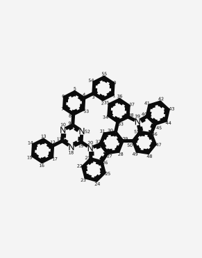 c1ccc(-c2cccc(-c3nc(-c4ccccc4)nc(-n4c5ccccc5c5cc6c(cc54)-c4ccccc4-n4c5ccccc5c5cccc-6c54)n3)c2)cc1